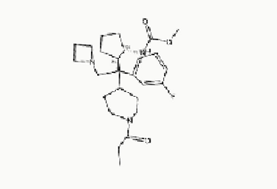 CCC(=O)N1CCC(C(CN2CCC2)(c2cccc(F)c2)[C@H]2CCC[C@@H]2NC(=O)OC)CC1